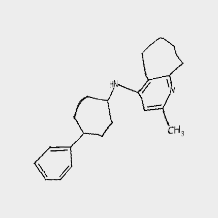 Cc1cc(NC2CCC(c3ccccc3)CC2)c2c(n1)CCCC2